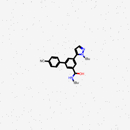 CC(C)(C)NC(O)c1cc(-c2ccc(C#N)cc2)cc(-c2ccnn2C(C)(C)C)c1